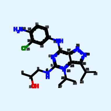 CC(O)CNc1nc(Nc2ccc(N)c(Cl)c2)c2nnc(C(C)C)c-2n1C(C)C